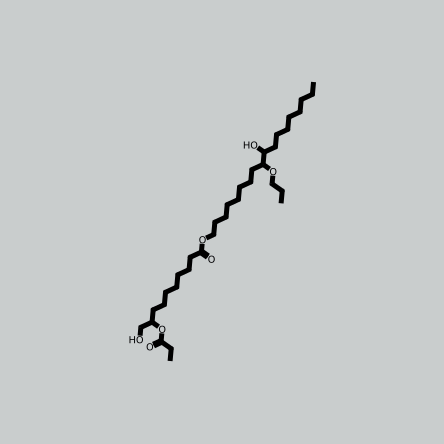 CCCCCCCCC(O)C(CCCCCCCCOC(=O)CCCCCCCC(CO)OC(=O)CC)OCCC